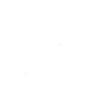 CC(c1ccncc1)N1CCN(c2ccccc2)CC1